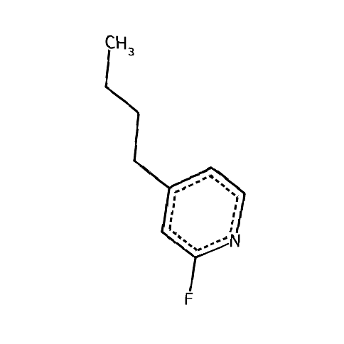 CCCCc1ccnc(F)c1